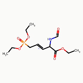 CCOC(=O)C(/C=C/CP(=O)(OCC)OCC)NC=O